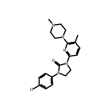 Cc1ccc(N2CCN(c3ccc(Cl)cc3)C2=O)nc1N1CCN(C)CC1